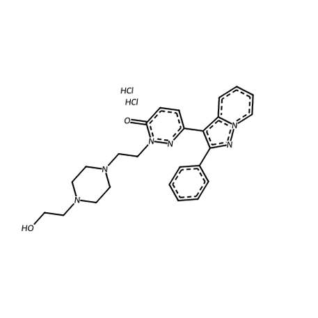 Cl.Cl.O=c1ccc(-c2c(-c3ccccc3)nn3ccccc23)nn1CCN1CCN(CCO)CC1